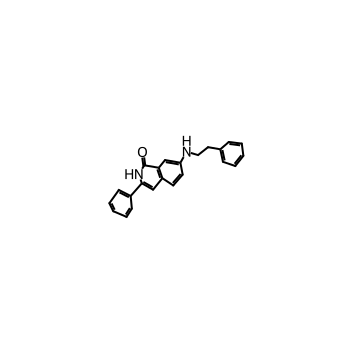 O=c1[nH]c(-c2ccccc2)cc2ccc(NCCc3ccccc3)cc12